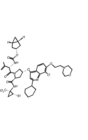 C=C(C)[C@H](NC(=O)O[C@@H]1C[C@@H]2C[C@@H]2C1)C(=O)N1C[C@H](Oc2cc(C3CCCCC3)nc3c(Cl)c(OCCN4CCOCC4)ccc23)C[C@H]1C(=O)N[C@]1(C(=O)O)C[C@H]1CC